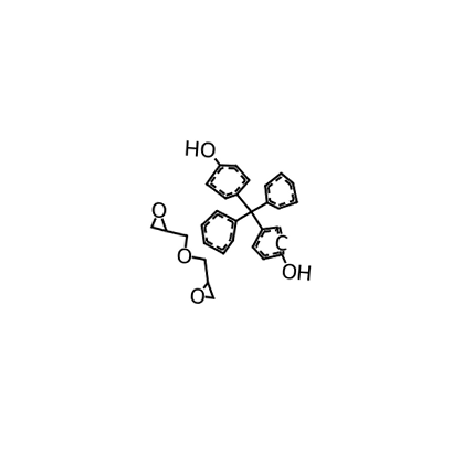 C(OCC1CO1)C1CO1.Oc1ccc(C(c2ccccc2)(c2ccccc2)c2ccc(O)cc2)cc1